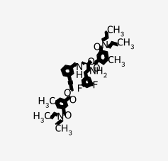 CCCCN(CCCC)C(=O)c1cc(C)cc(C(=O)O[C@H](CNCc2cccc(C#CCOC(=O)c3cc(C)cc(C(=O)N(CCC)CCC)c3)c2)[C@@H](N)Cc2cc(F)cc(F)c2)c1